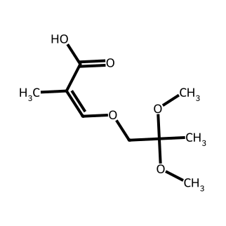 COC(C)(COC=C(C)C(=O)O)OC